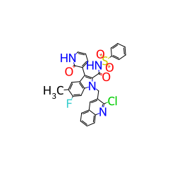 Cc1cc2c(-c3ccc[nH]c3=O)c(C(=O)NS(=O)(=O)c3ccccc3)n(Cc3cc4ccccc4nc3Cl)c2cc1F